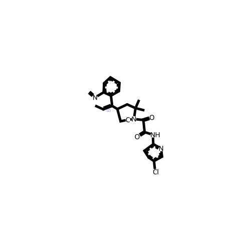 C=Nc1ccccc1/C(=C\C)C1CCN(C(=O)C(=O)Nc2ccc(Cl)cn2)C(C)(C)C1